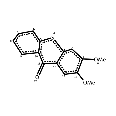 COc1cc2sc3ccccc3c(=O)c2cc1OC